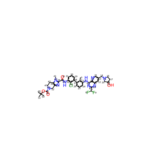 Cc1c(Nc2nc(C(F)F)nc3cc(CN4CC[C@@H](O)C4)cnc23)cccc1-c1cccc(NC(=O)c2nc3c(n2C)CCN(C(=O)OC(C)(C)C)C3)c1Cl